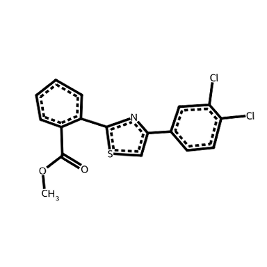 COC(=O)c1ccccc1-c1nc(-c2ccc(Cl)c(Cl)c2)cs1